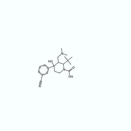 CN(C)CC1C(C(C)(C)C)N(C(=O)O)CCC1(O)c1cccc(C#N)c1